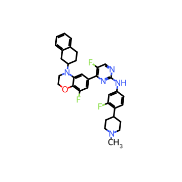 CN1CCC(c2ccc(Nc3ncc(F)c(-c4cc(F)c5c(c4)N(C4CCc6ccccc6C4)CCO5)n3)cc2F)CC1